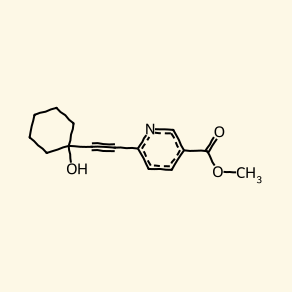 COC(=O)c1ccc(C#CC2(O)CCCCC2)nc1